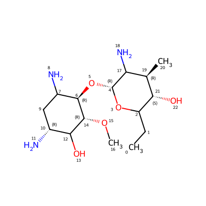 CCC1O[C@H](O[C@@H]2C(N)C[C@@H](N)C(O)[C@H]2OC)C(N)[C@@H](C)[C@@H]1O